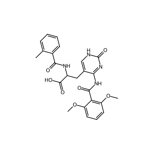 COc1cccc(OC)c1C(=O)Nc1nc(=O)[nH]cc1CC(NC(=O)c1ccccc1C)C(=O)O